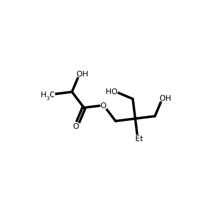 CCC(CO)(CO)COC(=O)C(C)O